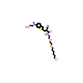 CN(CCO)c1ccc2cc(/C=C(\C#N)C(=O)NCCOCCOCCCCCCCl)sc2c1